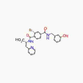 O=C(O)C(=Cc1ccccn1)NC(=O)c1ccc(C(=O)NCc2cccc(O)c2)cc1Br